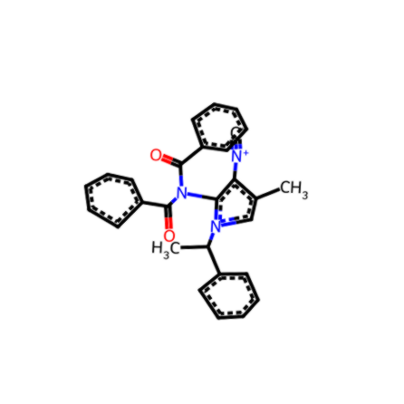 [C-]#[N+]c1c(C)cn(C(C)c2ccccc2)c1N(C(=O)c1ccccc1)C(=O)c1ccccc1